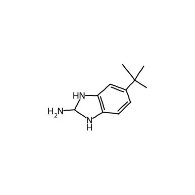 CC(C)(C)c1ccc2c(c1)NC(N)N2